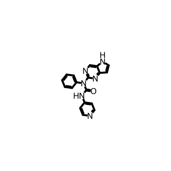 O=C(Nc1ccncc1)N(c1ccccc1)c1ncc2[nH]ccc2n1